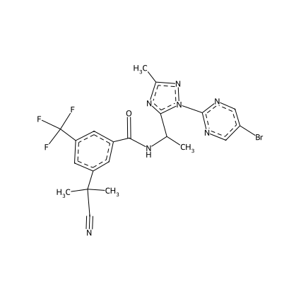 Cc1nc(C(C)NC(=O)c2cc(C(F)(F)F)cc(C(C)(C)C#N)c2)n(-c2ncc(Br)cn2)n1